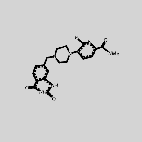 CNC(=O)c1ccc(N2CCN(Cc3ccc4c(=O)[nH]c(=O)[nH]c4c3)CC2)c(F)n1